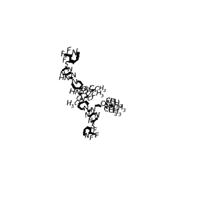 CC1(NC(=O)ON(C(=O)OC(C)(C)C)C2(C)CCN(c3nc4nc(Sc5cccnc5C(F)(F)F)cnc4n3CCO[Si](C)(C)C(C)(C)C)CC2)CCN(c2nc3nc(Sc4cccnc4C(F)(F)F)cnc3[nH]2)CC1